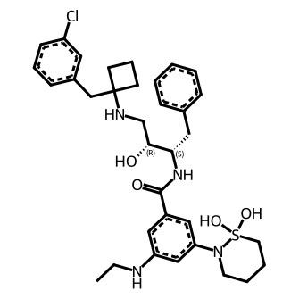 CCNc1cc(C(=O)N[C@@H](Cc2ccccc2)[C@H](O)CNC2(Cc3cccc(Cl)c3)CCC2)cc(N2CCCCS2(O)O)c1